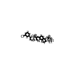 CCOP(=O)(OCC)Oc1ccnc2c1ccc1cc(P3(=O)OCC[C@@H](c4cccc(Cl)c4)O3)cnc12